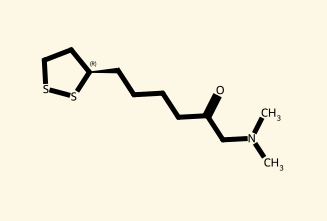 CN(C)CC(=O)CCCC[C@@H]1CCSS1